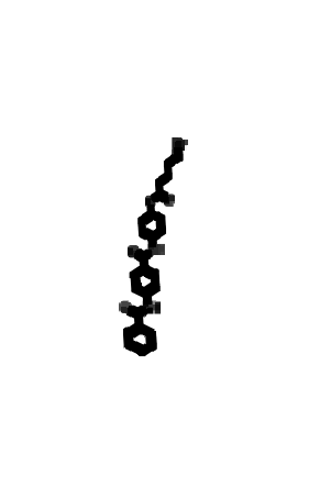 O=C(CCCCBr)Oc1ccc(NC(=O)c2ccc(NC(=O)c3ccccc3)cc2)cc1